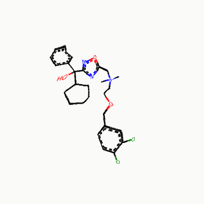 C[N+](C)(CCOCc1ccc(Cl)c(Cl)c1)Cc1nc(C(O)(c2ccccc2)C2CCCCC2)no1